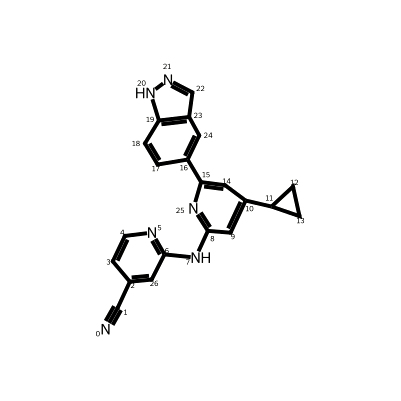 N#Cc1ccnc(Nc2cc(C3CC3)cc(-c3ccc4[nH]ncc4c3)n2)c1